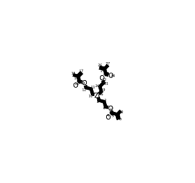 C=C(C)C(=O)OCC[CH2][Zr+]([CH2]CCOC(=O)C(=C)C)[CH2]CCOC(=O)C(=C)C